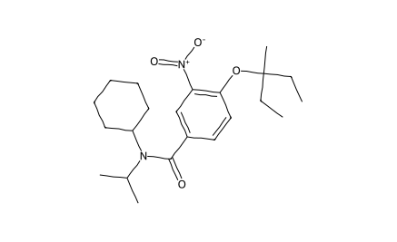 CCC(C)(CC)Oc1ccc(C(=O)N(C(C)C)C2CCCCC2)cc1[N+](=O)[O-]